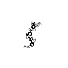 COc1cc(-c2cc(C(=O)N3CC[C@H](C(=O)NC4CCC5(CC4)N([S+]([O-])C(C)(C)C)CC5(F)F)CC34CC4)n[nH]2)c(F)cn1